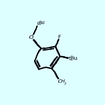 Cc1ccc(OC(C)(C)C)c(F)c1C(C)(C)C